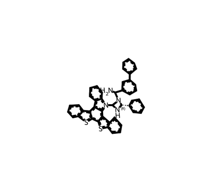 NC(c1cccc(-c2ccccc2)c1)N1C(n2c3ccccc3c3c4c5ccccc5sc4c4sc5ccccc5c4c32)N[C@H]1c1ccccc1